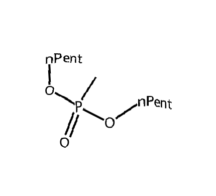 CCCCCOP(C)(=O)OCCCCC